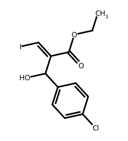 CCOC(=O)/C(=C/I)C(O)c1ccc(Cl)cc1